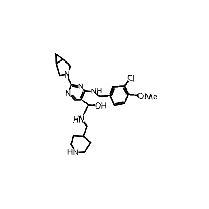 COc1ccc(CNc2nc(N3CC4CC4C3)ncc2C(O)NCC2CCNCC2)cc1Cl